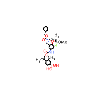 COC[C@H](C)Oc1c(F)cc(NC(=O)OC[C@H](C)c2ccc(B(O)O)cc2C)cc1CN(C)C(=O)OCc1ccccc1